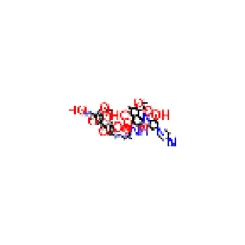 CO[C@@H](/C=C/O)[C@@H](C)[C@@H](OC(C)=O)[C@H](C)[C@H](O)[C@H](C)[C@@H](O)[C@@H](C)/C=C/C=C(/C)C(=O)Nc1c2oc3cc(N4CCC(N(C)C)CC4)cc(O)c3nc-2c2c3c(c(C)c(O)c2c1=O)OC(C)(C)C3=O